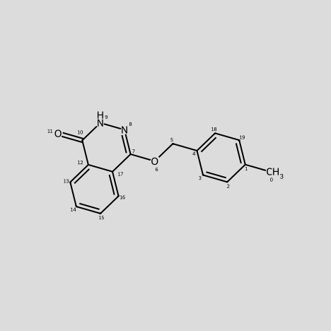 Cc1ccc(COc2n[nH]c(=O)c3ccccc23)cc1